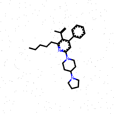 C=C(C)c1c(-c2ccccc2)cc(N2CCC(N3CCCC3)CC2)nc1CCCCC